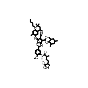 CCCCN1c2cc(C)c(/N=C3\C(C#N)=C(C(=O)OC4C(C)CC(C)CC4C)c4nc(-c5ccc(OC)c(NC(=O)C(C)CCC(C)C(=O)O)c5)nn43)cc2C(C)CC1(C)C